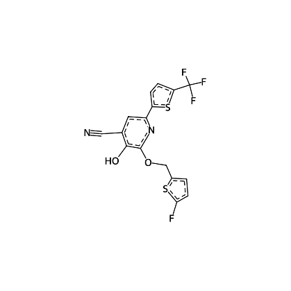 N#Cc1cc(-c2ccc(C(F)(F)F)s2)nc(OCc2ccc(F)s2)c1O